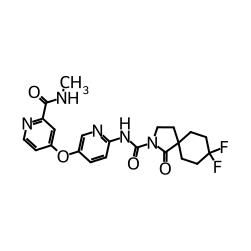 CNC(=O)c1cc(Oc2ccc(NC(=O)N3CCC4(CCC(F)(F)CC4)C3=O)nc2)ccn1